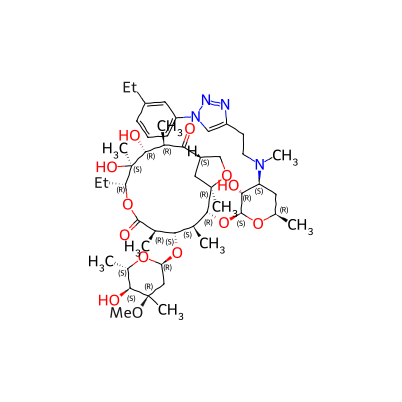 CCc1cccc(-n2cc(CCN(C)[C@H]3C[C@@H](C)O[C@@H](O[C@@H]4[C@@H](C)[C@H](O[C@H]5C[C@@](C)(OC)[C@@H](O)[C@H](C)O5)[C@@H](C)C(=O)O[C@H](CC)[C@@](C)(O)[C@H](O)[C@@H](C)C(=O)[C@@H]5CO[C@]4(C)C5)[C@@H]3O)nn2)c1